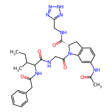 CCC(C)C(NC(=O)Cc1ccccc1)C(=O)NCC(=O)N1c2cc(NC(C)=O)ccc2C[C@H]1C(=O)NCc1nn[nH]n1